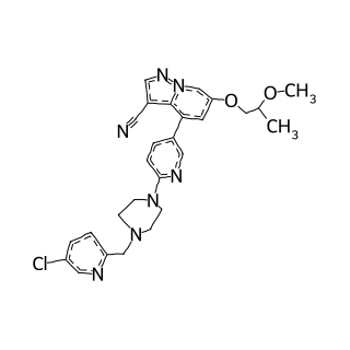 COC(C)COc1cc(-c2ccc(N3CCN(Cc4ccc(Cl)cn4)CC3)nc2)c2c(C#N)cnn2c1